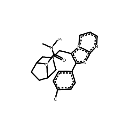 CC(C)N(C)C(=O)N1C2CCC1CN(Cc1c(-c3ccc(Cl)cc3)nc3ncccn13)C2